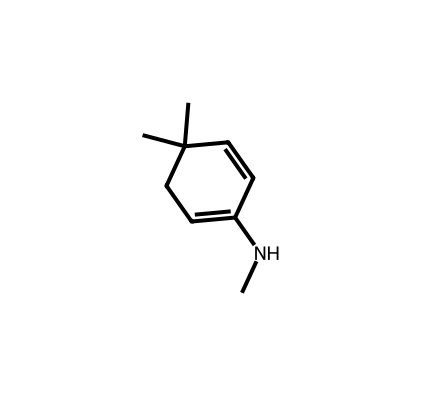 CNC1=CCC(C)(C)C=C1